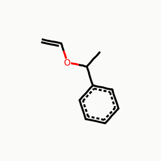 C=COC(C)c1ccccc1